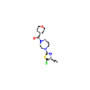 O=C(C1CCOCC1)N1CCCN(c2nc(C(F)(F)F)c(Cl)s2)CC1